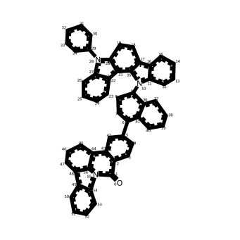 O=c1c2ccc(-c3ccc(-n4c5ccccc5c5ccc6c(c7ccccc7n6-c6ccccc6)c54)c4ccccc34)cc2c2cccc3c4ccccc4n1c23